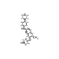 Cc1cc2cnc(Nc3ccc(N4CCOCC4)cc3)nc2cc1OC1CCNCC1